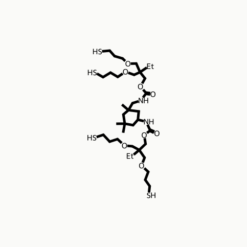 CCC(COCCCS)(COCCCS)COC(=O)NCC1(C)CC(NC(=O)OCC(CC)(COCCCS)COCCCS)CC(C)(C)C1